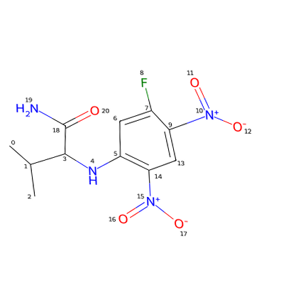 CC(C)C(Nc1cc(F)c([N+](=O)[O-])cc1[N+](=O)[O-])C(N)=O